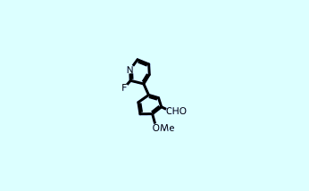 COc1ccc(-c2cccnc2F)cc1C=O